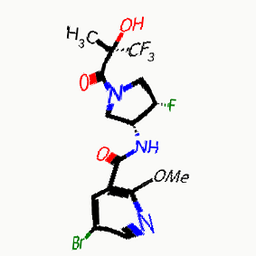 COc1ncc(Br)cc1C(=O)N[C@@H]1CN(C(=O)[C@@](C)(O)C(F)(F)F)C[C@@H]1F